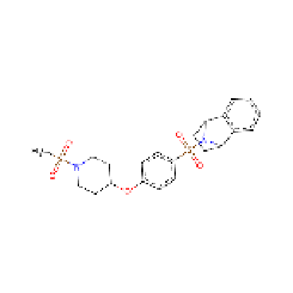 CS(=O)(=O)N1CCC(Oc2ccc(S(=O)(=O)N3C4CCC3c3ccccc34)cc2)CC1